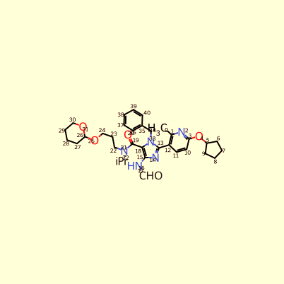 Cc1nc(OC2CCCC2)ccc1-c1nc(NC=O)c(C(=O)N(CCCOC2CCCCO2)C(C)C)n1Cc1ccccc1